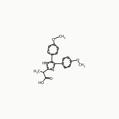 COc1ccc(-c2nc(C(C)C(=O)O)[nH]c2-c2ccc(OC)cc2)cc1